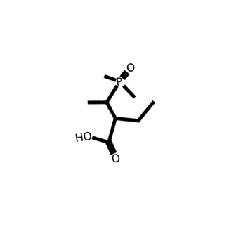 CCC(C(=O)O)C(C)P(C)(C)=O